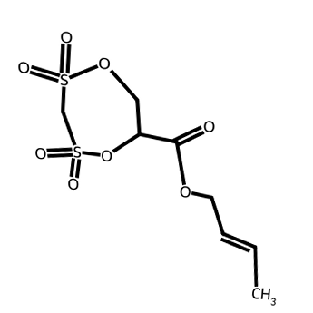 C/C=C/COC(=O)C1COS(=O)(=O)CS(=O)(=O)O1